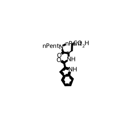 CCCCCN(CCCCC)C(=O)[C@@H](CCC(=O)O)NC(=O)c1cc2ccccc2[nH]1